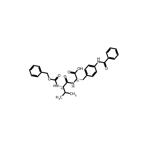 CC(C)[C@H](NC(=O)OCc1ccccc1)C(=O)N[C@@H](Cc1ccc(NC(=O)c2ccccc2)cc1)C(=O)O